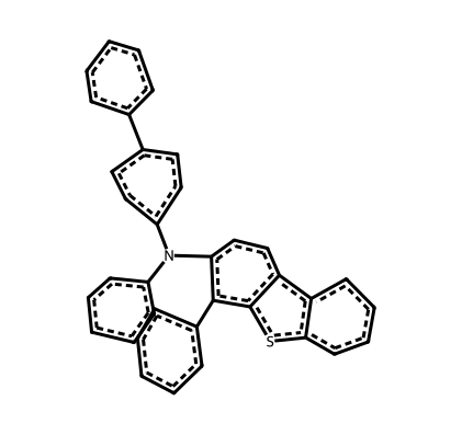 c1ccc(-c2ccc(N(c3ccccc3)c3ccc4c(sc5ccccc54)c3-c3ccccc3)cc2)cc1